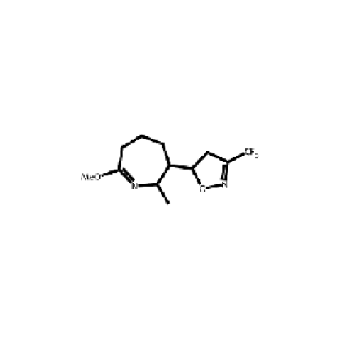 COC1=NC(C)C(C2CC(C(F)(F)F)=NO2)CCC1